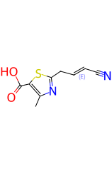 Cc1nc(C/C=C/C#N)sc1C(=O)O